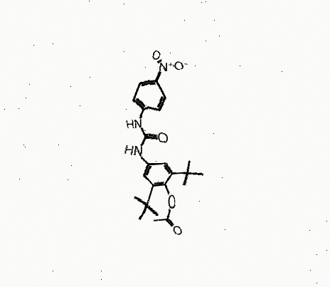 CC(=O)Oc1c(C(C)(C)C)cc(NC(=O)Nc2ccc([N+](=O)[O-])cc2)cc1C(C)(C)C